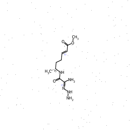 COC(=O)/C=C/CC[C@@H](C)NC(=O)/C(N)=N/NN